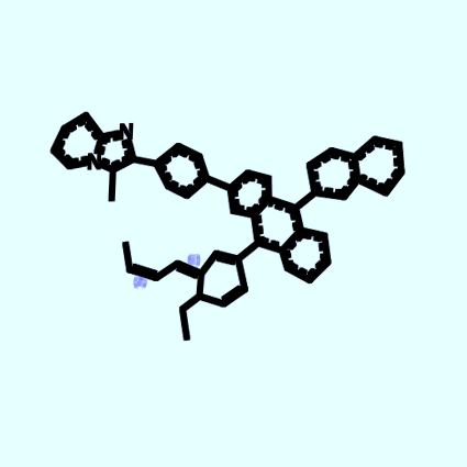 C/C=C\C=C1\C=C(c2c3ccccc3c(-c3ccc4ccccc4c3)c3ccc(-c4ccc(-c5nc6ccccn6c5C)cc4)cc23)C=CC1CC